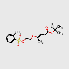 C/C(=C\CC(=O)OC(C)(C)C)OCCOS(=O)(=O)c1ccccc1C